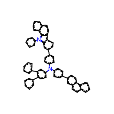 c1ccc(-c2ccc(N(c3ccc(-c4ccc5c(ccc6ccccc65)c4)cc3)c3ccc(-c4ccc5c6ccc7ccccc7c6n(-c6ccccc6)c5c4)cc3)cc2-c2ccccc2)cc1